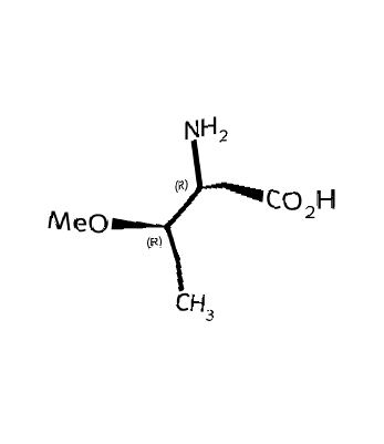 CO[C@H](C)[C@@H](N)C(=O)O